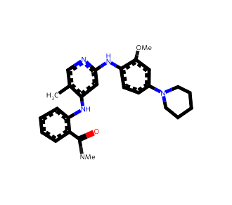 CNC(=O)c1ccccc1Nc1cc(Nc2ccc(N3CCCCC3)cc2OC)ncc1C